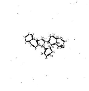 c1ccc2c(c1)ccc1c2cc2c3ccc4ccncc4c3c3ccccc3n12